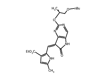 CCCCOC[C@H](C)Oc1ncc2c(n1)/C(=C/c1[nH]c(C)cc1C(=O)OCC)C(=O)N2